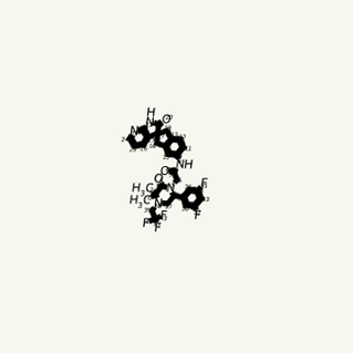 CC1(C)C(=O)N(CC(=O)Nc2ccc3c(c2)CC2(C3)C(=O)Nc3ncccc32)C(c2cc(F)cc(F)c2)CN1CC(F)(F)F